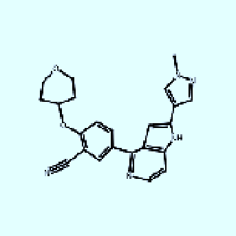 Cn1cc(-c2cc3c(-c4ccc(OC5CCOCC5)c(C#N)c4)nccc3[nH]2)cn1